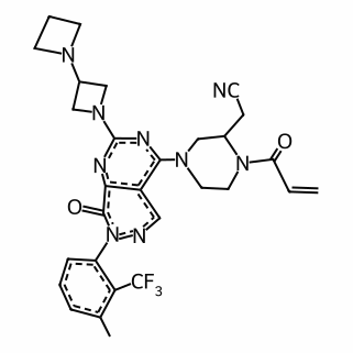 C=CC(=O)N1CCN(c2nc(N3CC(N4CCC4)C3)nc3c(=O)n(-c4cccc(C)c4C(F)(F)F)ncc23)CC1CC#N